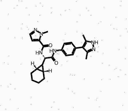 Cc1n[nH]c(C)c1-c1ccc(NC(=O)[C@@H](NC(=O)c2ccnn2C)C2[C@H]3CCCC[C@@H]23)cc1